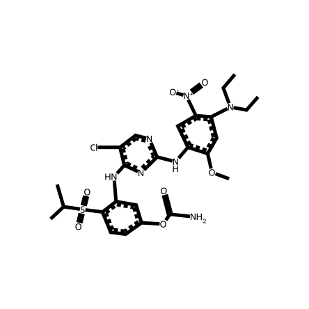 CCN(CC)c1cc(OC)c(Nc2ncc(Cl)c(Nc3cc(OC(N)=O)ccc3S(=O)(=O)C(C)C)n2)cc1[N+](=O)[O-]